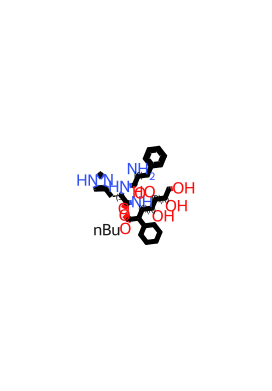 CCCCOC(=O)C(C1CCCCC1)[C@H](NC(=O)[C@H](Cc1c[nH]cn1)NC(=O)[C@@H](N)Cc1ccccc1)[C@@H](O)[C@@H](O)[C@H](O)CO